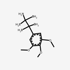 BC(B)(N)C(B)(B)c1cc(OC)c(OC)c(OC)c1